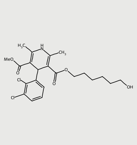 COC(=O)C1=C(C)NC(C)=C(C(=O)OCCCCCCO)C1c1cccc(Cl)c1Cl